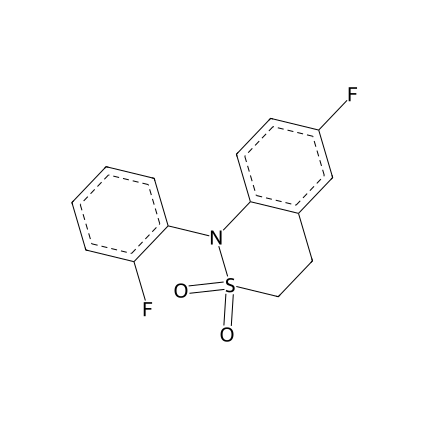 O=S1(=O)CCc2cc(F)ccc2N1c1ccccc1F